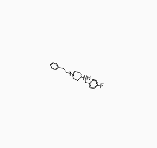 Fc1ccc(CNC2CCN(CCc3ccccc3)CC2)cc1